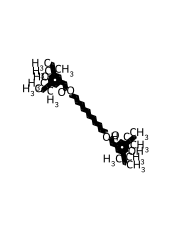 CCC(C)(C)c1cc(CC(=O)OCCCCCCCCCCCCOC(=O)Cc2cc(C(C)(C)CC)c(O)c(C(C)(C)CC)c2)cc(C(C)(C)CC)c1O